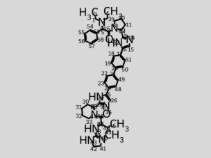 CCN(CC)[C@@H](C(=O)N1CCC[C@H]1c1ncc(-c2ccc(-c3ccc(-c4cnc([C@@H]5CCCCN5C(=O)[C@H](NC5=NCCN5)C(C)C)[nH]4)cc3)cc2)[nH]1)c1ccccc1